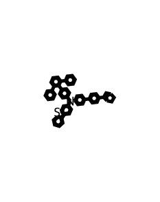 c1ccc(-c2cccc(-c3ccccc3)c2-c2ccc(N(c3ccc(-c4ccc(C5CC6CCC5C6)cc4)cc3)c3ccc4c(c3)sc3ccccc34)cc2)cc1